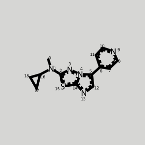 CN(c1nn2c(-c3ccncc3)cnc2s1)C1CC1